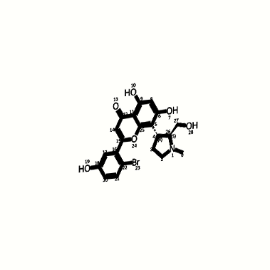 CN1CC[C@H](c2c(O)cc(O)c3c(=O)cc(-c4cc(O)ccc4Br)oc23)[C@H]1CO